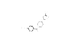 CC(c1ccc(C(F)(F)F)cc1)N1CCC([C@H]2CC(Br)=NO2)CC1